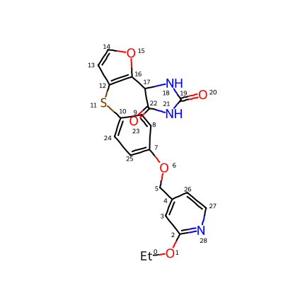 CCOc1cc(COc2ccc(Sc3ccoc3C3NC(=O)NC3=O)cc2)ccn1